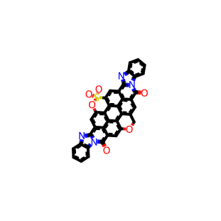 O=c1c2cc3c4c5c(cc6c(=O)n7c8ccccc8nc7c7cc8c(c9c(cc(c2c49)c2nc4ccccc4n12)OS8(=O)=O)c5c67)CO3